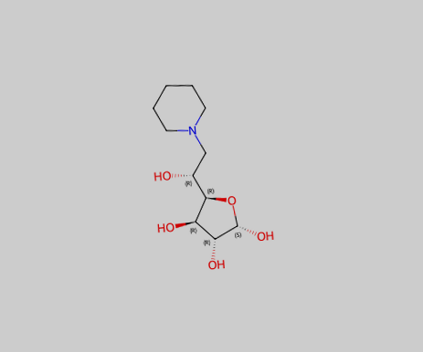 O[C@@H]1[C@@H](O)[C@@H](O)O[C@@H]1[C@H](O)CN1CCCCC1